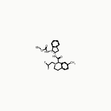 Cc1ccc2c(c1)C(C(=O)N[C@H]1Cc3ccccc3[C@@H]1NC(=O)OC(C)(C)C)N(CC(F)F)CC2